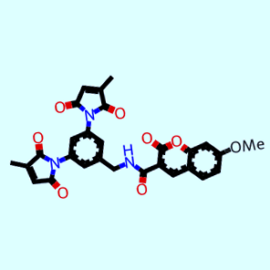 COc1ccc2cc(C(=O)NCc3cc(N4C(=O)C=C(C)C4=O)cc(N4C(=O)C=C(C)C4=O)c3)c(=O)oc2c1